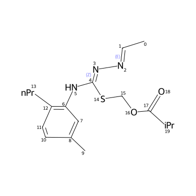 C/C=N/N=C(/Nc1cc(C)ccc1CCC)SCOC(=O)C(C)C